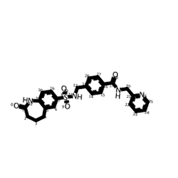 O=C1CCCc2cc(S(=O)(=O)NCc3ccc(C(=O)NCc4ccccn4)cc3)ccc2N1